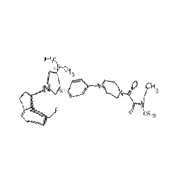 CN(C)C(=O)C(=O)N1CCN(c2ccc([C@@H]3CN(C4CCc5cccc(F)c54)C[C@H]3N(C)C)cc2)CC1